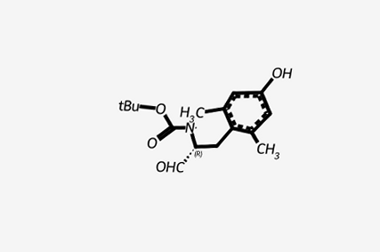 Cc1cc(O)cc(C)c1C[C@H](C=O)[N]C(=O)OC(C)(C)C